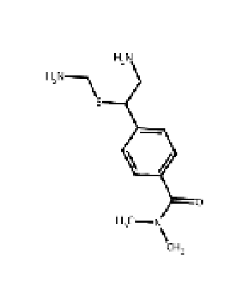 CN(C)C(=O)c1ccc(C(CN)SCN)cc1